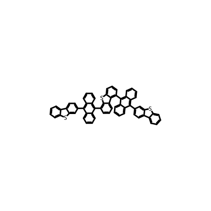 c1ccc2c(c1)sc1cc(-c3c4ccccc4c(-c4cccc5c4sc4cccc(-c6c7ccccc7c(-c7ccc8c(c7)sc7ccccc78)c7ccccc67)c45)c4ccccc34)ccc12